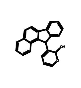 OC1OC=CC=C1C1c2ccccc2-c2ccc3ccccc3c21